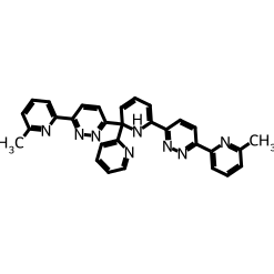 Cc1cccc(-c2ccc(C3=CC=CC(c4ccccn4)(c4ccc(-c5cccc(C)n5)nn4)N3)nn2)n1